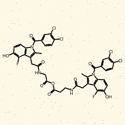 Cc1c(CC(=O)NCCC(=O)OC(=O)CNC(=O)Cc2c(C)n(C(=O)c3ccc(Cl)c(Cl)c3)c3ccc(O)c(F)c23)c2c(F)c(O)ccc2n1C(=O)c1ccc(Cl)c(Cl)c1